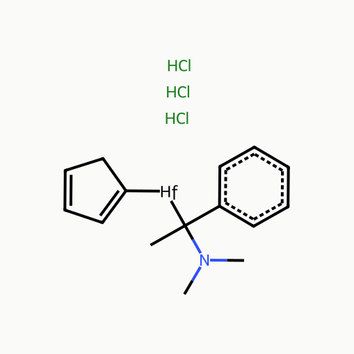 CN(C)[C](C)([Hf][C]1=CC=CC1)c1ccccc1.Cl.Cl.Cl